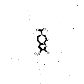 O=C(N1CCc2cc([N+](=O)[O-])c(Br)nc2CC1)C(F)(F)F